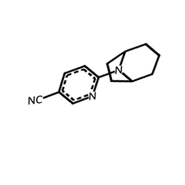 N#Cc1ccc(N2C3CCCC2CC3)nc1